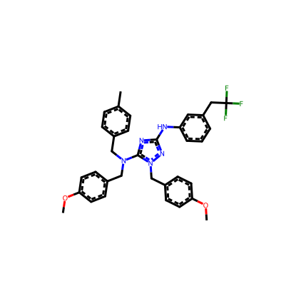 COc1ccc(CN(Cc2ccc(C)cc2)c2nc(Nc3cccc(CC(F)(F)F)c3)nn2Cc2ccc(OC)cc2)cc1